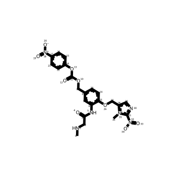 CNCC(=O)Nc1cc(COC(=O)Oc2ccc([N+](=O)[O-])cc2)ccc1OCc1cnc([N+](=O)[O-])n1C